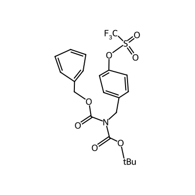 CC(C)(C)OC(=O)N(Cc1ccc(OS(=O)(=O)C(F)(F)F)cc1)C(=O)OCc1ccccc1